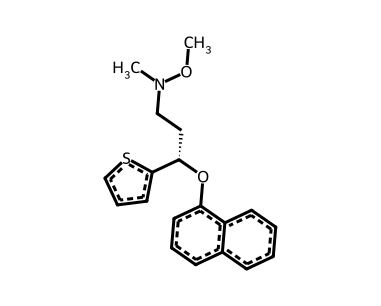 CON(C)CC[C@H](Oc1cccc2ccccc12)c1cccs1